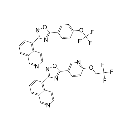 FC(F)(F)COc1ccc(-c2nc(-c3cccc4cnccc34)no2)cn1.FC(F)(F)Oc1ccc(-c2nc(-c3cccc4cnccc34)no2)cc1